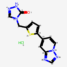 Cl.O=c1[nH]ncn1Cc1ccc(-c2ccn3ncnc3c2)s1